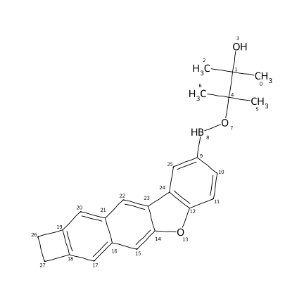 CC(C)(O)C(C)(C)OBc1ccc2oc3cc4cc5c(cc4cc3c2c1)CC5